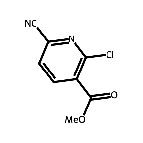 COC(=O)c1ccc(C#N)nc1Cl